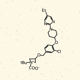 CCc1cnc(N2CCC(Oc3ccc(COC4C[N+](C(=O)[O-])(C(C)(C)C)C4)cc3Cl)CC2)nc1